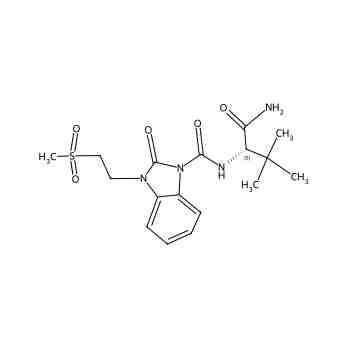 CC(C)(C)[C@H](NC(=O)n1c(=O)n(CCS(C)(=O)=O)c2ccccc21)C(N)=O